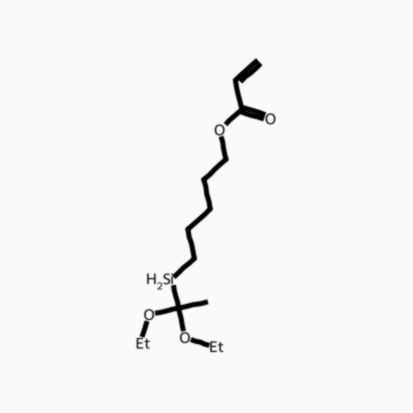 C=CC(=O)OCCCCC[SiH2]C(C)(OCC)OCC